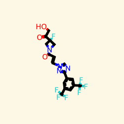 O=C(C=Cn1cnc(-c2cc(C(F)(F)F)cc(C(F)(F)F)c2)n1)N1CC(F)(C(=O)CO)C1